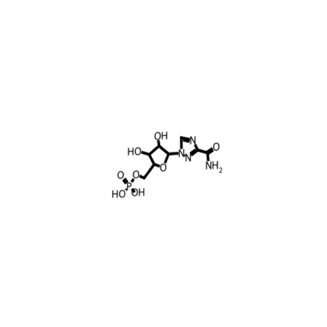 NC(=O)c1ncn(C2OC(COP(=O)(O)O)C(O)C2O)n1